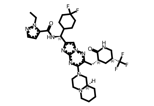 CCn1nccc1C(=O)N[C@H](c1cn2nc(C[C@H]3C[C@@H](C(F)(F)F)CNC3=O)c(N3CCN4CCCC[C@@H]4C3)nc2n1)C1CCC(F)(F)CC1